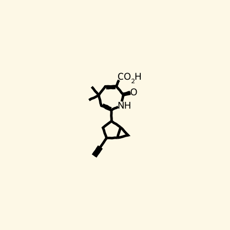 C#CC1CC(C2=CC(C)(C)C=C(C(=O)O)C(=O)N2)C2CC12